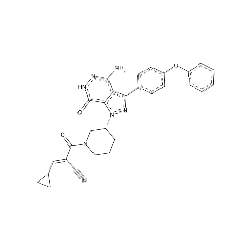 N#CC(=CC1CC1)C(=O)N1CCC[C@@H](n2nc(-c3ccc(Oc4ccccc4)cc3)c3c(N)n[nH]c(=O)c32)C1